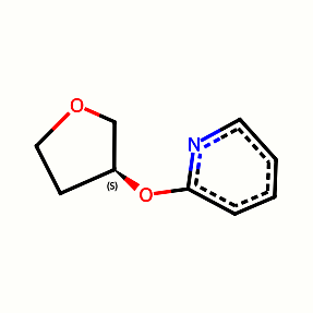 c1ccc(O[C@H]2CCOC2)nc1